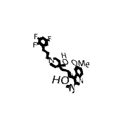 COc1ccc2ncc(N(C)C)c([C@@H](O)CCC3(CO)CCN(CCCc4cc(F)cc(F)c4F)CC3)c2c1